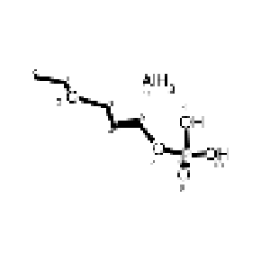 CCOCC=COP(=O)(O)O.[AlH3]